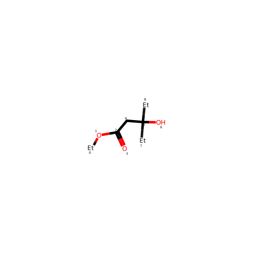 CCOC(=O)CC(O)(CC)CC